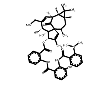 CC(=O)OCC1=C[C@@H]2C(=O)[C@]3(C=C(C)[C@H](OC(=O)c4ccccc4NC(=O)c4cccc(O)c4NC(=O)c4ccccc4N(C)C)[C@@]3(O)[C@@H]1O)[C@H](C)C[C@@H]1[C@H]2C1(C)C